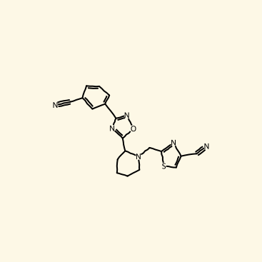 N#Cc1cccc(-c2noc(C3CCCCN3Cc3nc(C#N)cs3)n2)c1